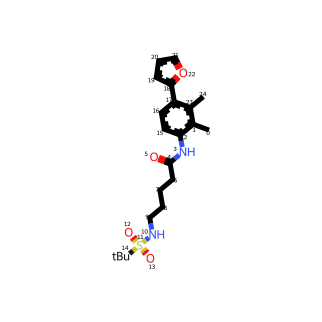 Cc1c(NC(=O)CCCCNS(=O)(=O)C(C)(C)C)ccc(-c2ccco2)c1C